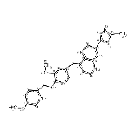 COc1ccc(COc2ncc(Cc3ccnc4cc(-c5cnc(C)s5)cnc34)cc2OC)nc1